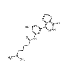 CN(C)CCCCC(=O)Nc1cccc(-c2n[nH]c(=O)c3ccccc23)c1.Cl